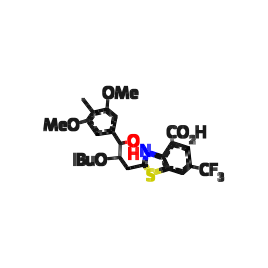 COc1cc(C(O)C(Cc2nc3c(C(=O)O)cc(C(F)(F)F)cc3s2)OCC(C)C)cc(OC)c1C